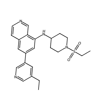 CCc1cncc(-c2cc(NC3CCN(S(=O)(=O)CC)CC3)c3cnccc3c2)c1